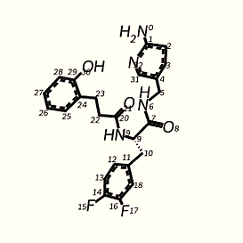 Nc1ccc(CNC(=O)[C@H](Cc2ccc(F)c(F)c2)NC(=O)CCc2ccccc2O)cn1